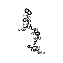 CN[C@@H](C)C(=O)N[C@@H](CCCCNC(=O)c1cccc(C(=O)NCCCC[C@H](NC(=O)[C@H](C)NC)C(=O)N2CCC[C@H]2C(=O)N[C@@H]2CCCc3ccccc32)c1)C(=O)N1CCCC1